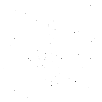 O=C(CCC/C=C\C[C@H]1[C@H](/C=C/C(O)C2CCCCC2)[C@@H]2CC[C@H]1O2)NO